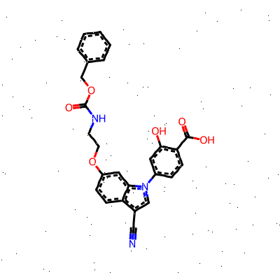 N#Cc1cn(-c2ccc(C(=O)O)c(O)c2)c2cc(OCCNC(=O)OCc3ccccc3)ccc12